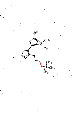 C[Si](C)(C)OCCCC1=C(C2=C3C(=[C]([Zr+2])C2)[Si]3(C)C)CC=C1.[Cl-].[Cl-]